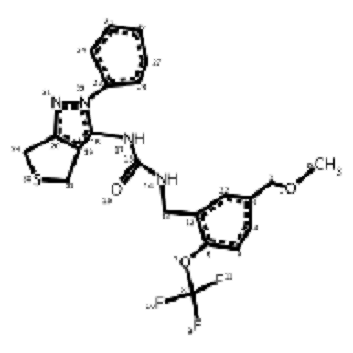 COCc1ccc(OC(F)(F)F)c(CNC(=O)Nc2c3c(nn2-c2ccccc2)CSC3)c1